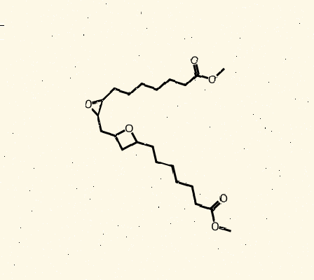 COC(=O)CCCCCCC1CC(CC2OC2CCCCCCC(=O)OC)O1